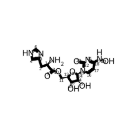 N[C@H](Cc1c[nH]cn1)C(=O)OC[C@H]1O[C@@H](n2ccc(NO)nc2=O)[C@H](O)[C@@H]1O